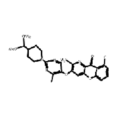 COC(OC)C1CCN(c2ncc(Oc3cc4oc5cccc(Cl)c5c(=O)c4nc3N)c(C)n2)CC1